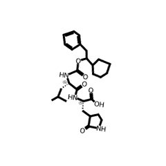 CC(C)C[C@H](NC(=O)OC(Cc1ccccc1)C1CCCCC1)C(=O)N[C@@H](CC1CCNC1=O)C(=O)O